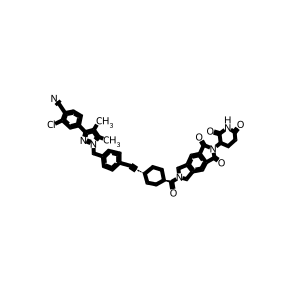 Cc1c(-c2ccc(C#N)c(Cl)c2)nn(Cc2ccc(C#C[C@H]3CC[C@H](C(=O)N4Cc5cc6c(cc5C4)C(=O)N(C4CCC(=O)NC4=O)C6=O)CC3)cc2)c1C